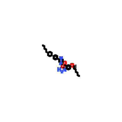 CCCCCC[C@@H](C)Oc1ccc(N)c(C(=O)Oc2cnc(-c3ccc([C@H]4CC[C@H](CCCCC)CC4)cc3)cn2)c1